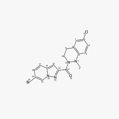 CN1c2ccc(Cl)cc2CCN1C(=O)c1cc2ccc(Br)cn2n1